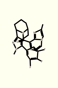 Cc1cn2ccnc(C(=O)N3C4CCCC3c3nn(C)c(-c5cc(F)c(F)c(F)c5)c3C4)c2n1